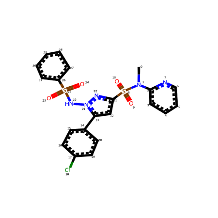 CN(c1ccccn1)S(=O)(=O)c1cc(-c2ccc(Cl)cc2)n(NS(=O)(=O)c2ccccc2)n1